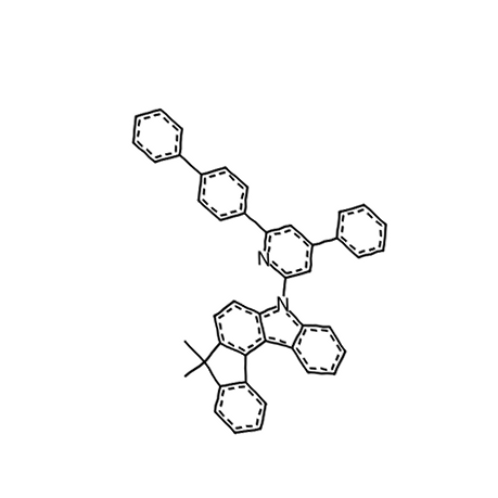 CC1(C)c2ccccc2-c2c1ccc1c2c2ccccc2n1-c1cc(-c2ccccc2)cc(-c2ccc(-c3ccccc3)cc2)n1